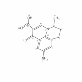 CC1CCc2cc(N)cc3c(=O)c(C(=O)O)cn1c23